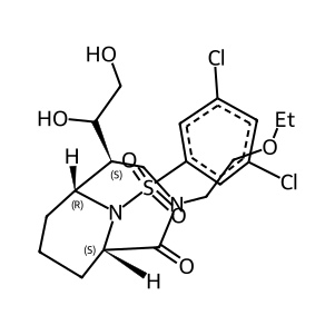 CCOCCN1C[C@H](C(O)CO)[C@H]2CCC[C@@H](C1=O)N2S(=O)(=O)c1cc(Cl)cc(Cl)c1